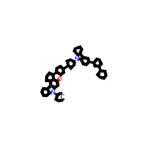 c1ccc(-c2cccc(-c3ccc4c(c3)c3ccccc3n4-c3ccc(-c4ccc5c(c4)Oc4cc6c(c7cccc-5c47)c4ccccc4n6-c4ccccc4)cc3)c2)cc1